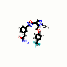 Cn1ncc(-c2nc(-c3cccc(CC(N)=O)c3)no2)c1COc1ccc(C(F)(F)F)cc1